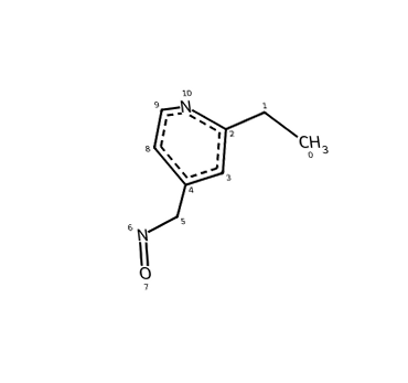 CCc1cc(CN=O)ccn1